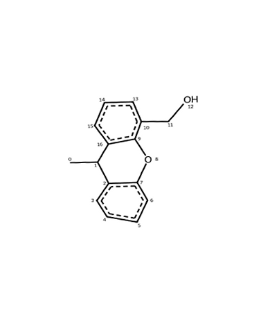 CC1c2ccccc2Oc2c(CO)cccc21